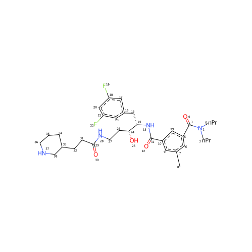 CCCN(CCC)C(=O)c1cc(C)cc(C(=O)N[C@@H](Cc2cc(F)cc(F)c2)[C@H](O)CCNC(=O)CCC2CCCNC2)c1